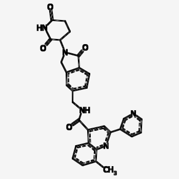 Cc1cccc2c(C(=O)NCc3ccc4c(c3)CN(C3CCC(=O)NC3=O)C4=O)cc(-c3cccnc3)nc12